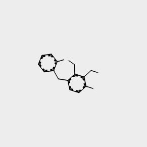 CCc1c(F)ccc2c1CSc1ccccc1C2